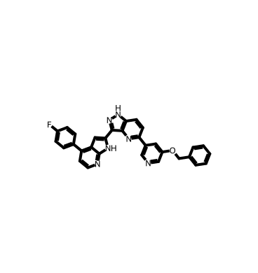 Fc1ccc(-c2ccnc3[nH]c(-c4n[nH]c5ccc(-c6cncc(OCc7ccccc7)c6)nc45)cc23)cc1